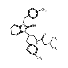 Cc1ccc(CC(CNC(=O)CN(C)C)n2c3c(n(Cc4ccc(C)cc4)c2=N)=CCCC=3)cc1